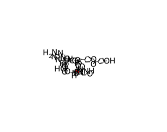 Nc1ncnc2c1ncn2[C@@H]1O[C@@H]2COP(=O)(SCc3ccc(OC(=O)c4ccc(O)cc4)cc3)O[C@@H]3[C@H](F)[C@@H](COP(=O)(O)O[C@H]2[C@H]1F)O[C@H]3n1ccc(=O)[nH]c1=O